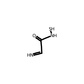 N=CC(=O)NS